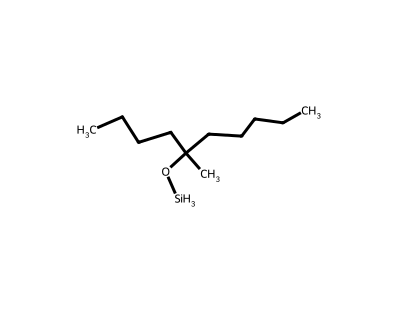 CCCCCC(C)(CCCC)O[SiH3]